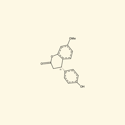 COc1ccc2c(c1)OC(=O)C[C@H]2c1ccc(O)cc1